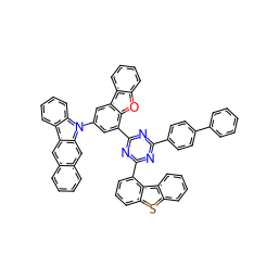 c1ccc(-c2ccc(-c3nc(-c4cc(-n5c6ccccc6c6cc7ccccc7cc65)cc5c4oc4ccccc45)nc(-c4cccc5sc6ccccc6c45)n3)cc2)cc1